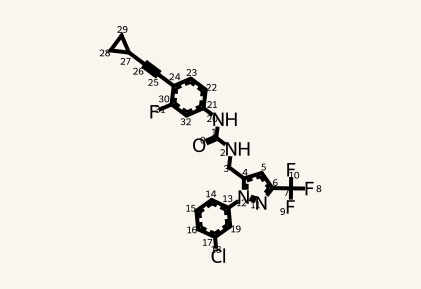 O=C(NCc1cc(C(F)(F)F)nn1-c1cccc(Cl)c1)Nc1ccc(C#CC2CC2)c(F)c1